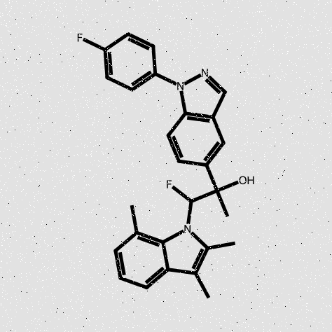 Cc1c(C)n(C(F)C(C)(O)c2ccc3c(cnn3-c3ccc(F)cc3)c2)c2c(C)cccc12